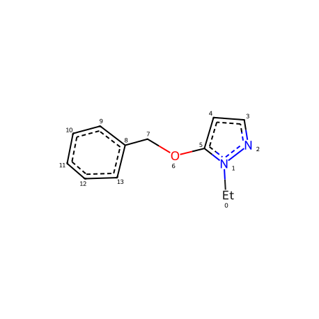 CCn1nccc1OCc1ccccc1